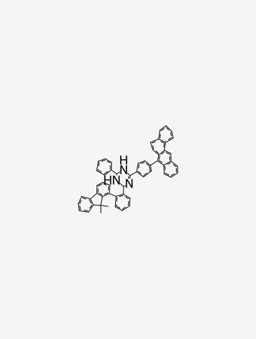 CC1(C)c2ccccc2-c2cccc(-c3ccccc3C3N=C(c4ccc(-c5c6ccccc6cc6c5ccc5ccccc56)cc4)NC(c4ccccc4)N3)c21